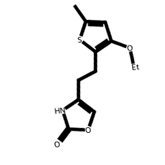 CCOc1cc(C)sc1CCc1coc(=O)[nH]1